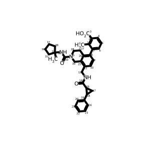 Cc1c(C(=O)O)cccc1-c1ccc(CNC(=O)C2CC2c2ccccc2)c2c1CCN(C(=O)NC1(C)CCCC1)C2